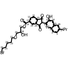 CC(C)c1ccc2nc(C3C(=O)c4ccc(C(=O)OCC(O)COCCCCCBr)cc4C3=O)c(O)cc2c1